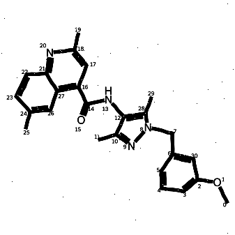 COc1cccc(Cn2nc(C)c(NC(=O)c3cc(C)nc4ccc(C)cc34)c2C)c1